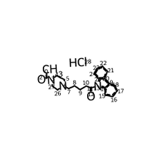 CC(=O)N1CCN(CCCCC(=O)n2c3ccccc3c3ccccc32)CC1.Cl